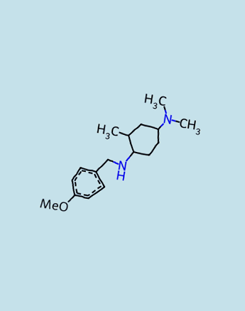 COc1ccc(CNC2CCC(N(C)C)CC2C)cc1